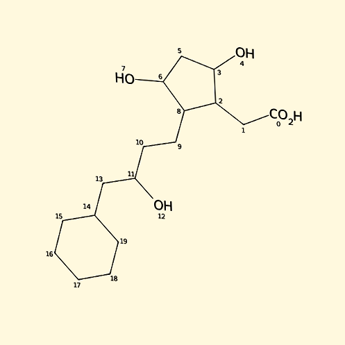 O=C(O)CC1C(O)CC(O)C1CCC(O)CC1CCCCC1